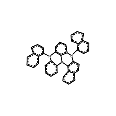 c1ccc2c(c1)B1c3c(cccc3N(c3cccc4ccccc34)c3ccc4ccccc4c31)N2c1cccc2ccccc12